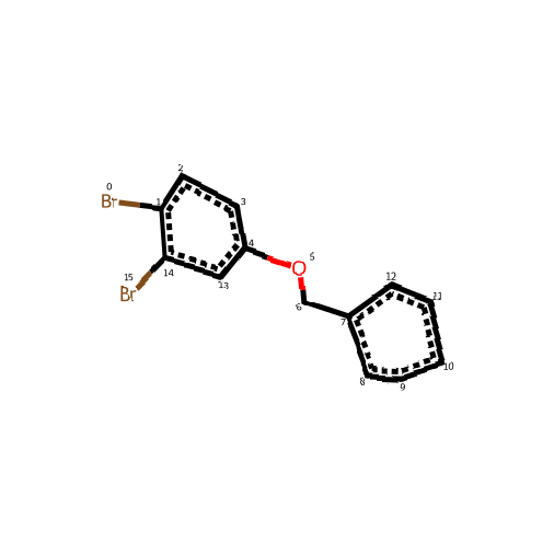 Brc1ccc(OCc2ccccc2)cc1Br